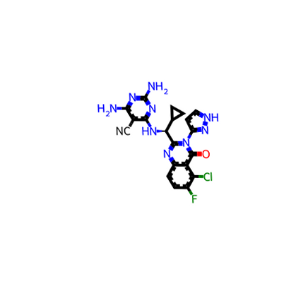 N#Cc1c(N)nc(N)nc1N[C@H](c1nc2ccc(F)c(Cl)c2c(=O)n1-c1cc[nH]n1)C1CC1